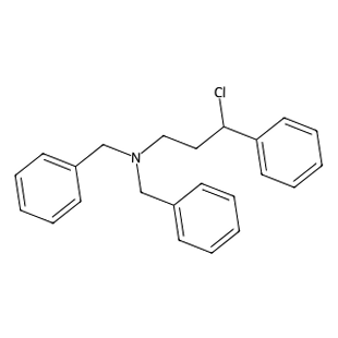 ClC(CCN(Cc1ccccc1)Cc1ccccc1)c1ccccc1